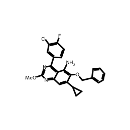 COc1nc(-c2ccc(F)c(Cl)c2)c2c(N)c(OCc3ccccc3)c(C3CC3)cc2n1